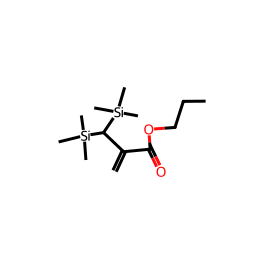 C=C(C(=O)OCCC)C([Si](C)(C)C)[Si](C)(C)C